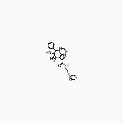 Cc1c(C(=O)NCCCn2cncn2)cn2ncnc(C3C(=O)Nc4ccccc43)c12